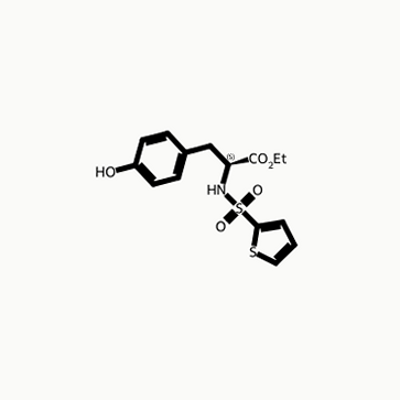 CCOC(=O)[C@H](Cc1ccc(O)cc1)NS(=O)(=O)c1cccs1